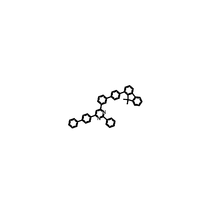 CC1(C)c2ccccc2-c2cccc(-c3ccc(-c4cccc(-c5cc(-c6ccc(-c7ccccc7)cc6)nc(-c6ccccc6)n5)c4)cc3)c21